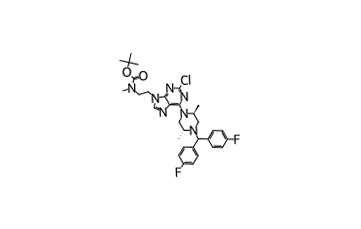 C[C@@H]1CN(c2nc(Cl)nc3c2ncn3CCN(C)C(=O)OC(C)(C)C)[C@@H](C)CN1C(c1ccc(F)cc1)c1ccc(F)cc1